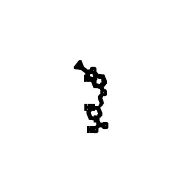 O=C(O)N1CCN[C@H](CCOc2ccc3oc(C4CC4)nc3c2)C1